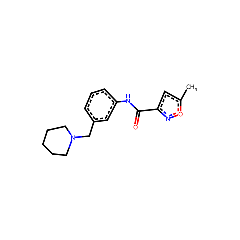 Cc1cc(C(=O)Nc2cccc(CN3CCCCC3)c2)no1